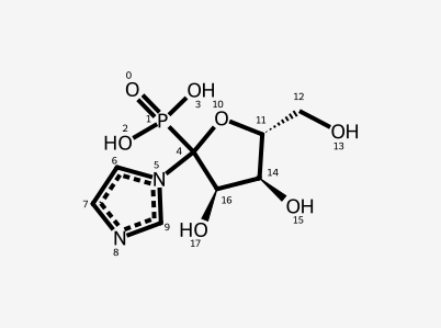 O=P(O)(O)C1(n2ccnc2)O[C@H](CO)[C@@H](O)[C@H]1O